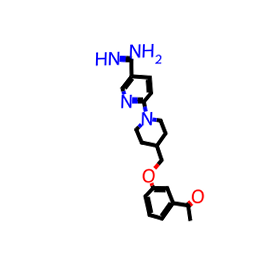 CC(=O)c1cccc(OCC2CCN(c3ccc(C(=N)N)cn3)CC2)c1